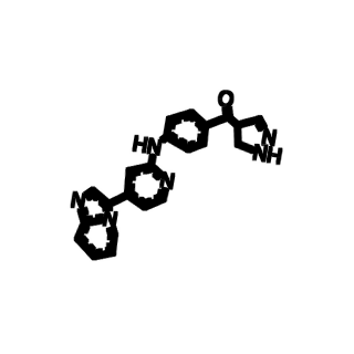 O=C(c1ccc(Nc2cc(-c3cnc4ccccn34)ccn2)cc1)C1C=NNC1